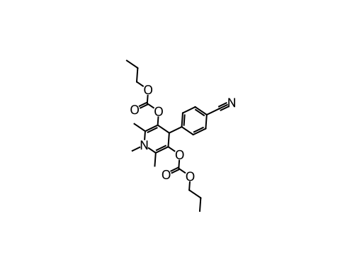 CCCOC(=O)OC1=C(C)N(C)C(C)=C(OC(=O)OCCC)C1c1ccc(C#N)cc1